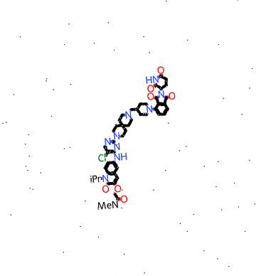 CNC(=O)COc1cc2cc(Nc3nc(N4CCC5(CCN(CC6CCN(c7cccc8c7C(=O)N(C7CCC(=O)NC7=O)C8=O)CC6)CC5)CC4)ncc3Cl)ccc2n(C(C)C)c1=O